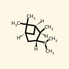 C[C@H]1[C@H](N(C)C)C[C@@H]2C[C@H]1C2(C)C